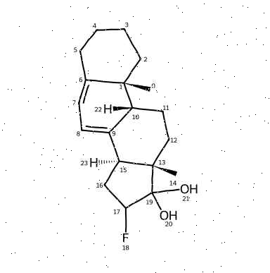 C[C@]12CCCCC1=CC=C1[C@H]2CC[C@@]2(C)[C@H]1CC(F)C2(O)O